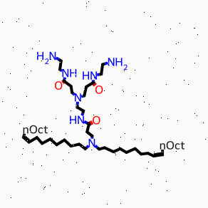 CCCCCCCC/C=C\CCCCCCCCN(CCCCCCCC/C=C\CCCCCCCC)CCC(=O)NCCN(CCC(=O)NCCN)CCC(=O)NCCN